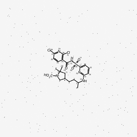 CC(CCC1CN(C(=O)O)C(C)(C)C1)Nc1cccc(S(=O)(=O)NC(=O)c2ccc(Cl)nc2Cl)n1